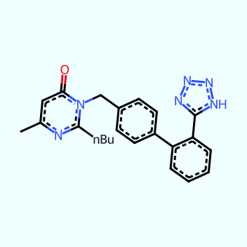 CCCCc1nc(C)cc(=O)n1Cc1ccc(-c2ccccc2-c2nnn[nH]2)cc1